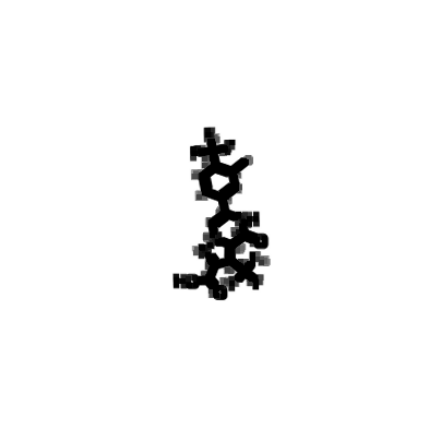 Cc1cc(-c2cn3nc(C(=O)O)c(C(F)(F)F)c3c(=O)[nH]2)ccc1C(F)(F)F